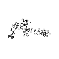 Cc1nc2ccc(OCC(F)(F)F)cc2c2c1O[C@]1(CC2)C[C@@H](C(N)=O)N(C(=O)[C@H](CCCCC/C=C\[C@@H]2C[C@@H]2C(=O)NS(=O)(=O)C2(C)CC2)NC(=O)OC(C)(C)C)C1